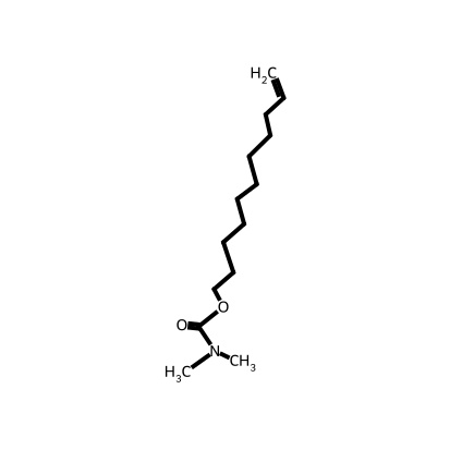 C=CCCCCCCCCCOC(=O)N(C)C